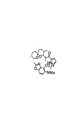 CNc1ccc2oc(C[C@H]3O[C@@]4(CC[C@H]3C)O[C@H](C(C)C(=O)c3ccc[nH]3)[C@H](C)C[C@H]4C)nc2c1C(=O)O